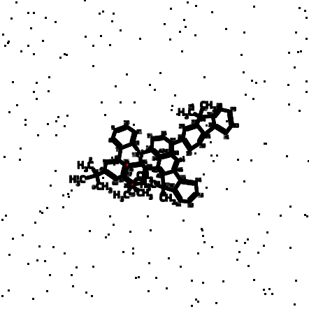 CC(C)(C)c1cc(-c2ccccc2N(c2ccc(-c3ccc4c(c3)C(C)(C)c3ccccc3-4)cc2)c2ccccc2-c2cccc3c2C(C)(C)c2ccccc2-3)cc(C(C)(C)C)c1